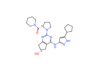 O=C([C@@H]1CCCN1c1nc2c(c(Nc3cc(C4CCCC4)[nH]n3)n1)C[C@H](O)C2)N1CCCCC1